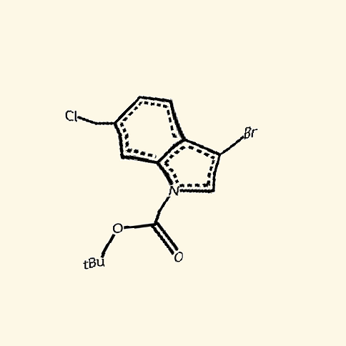 CC(C)(C)OC(=O)n1cc(Br)c2ccc(Cl)cc21